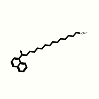 CCCCCCCCCCCCCCCCCCCCCCCCC(C)c1cccc2ccccc12